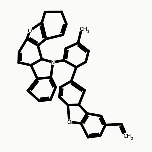 C=Cc1ccc2c(c1)C1C=C(C3CC=C(C)C=C3N3c4ccccc4C4C=Cc5oc6c(c5C43)C=CCC6)C=CC1O2